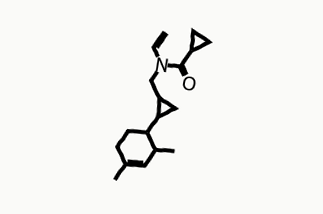 C=CN(CC1CC1C1CCC(C)=CC1C)C(=O)C1CC1